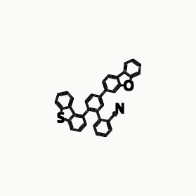 N#Cc1ccccc1-c1cc(-c2ccc3c(c2)oc2ccccc23)ccc1-c1cccc2sc3ccccc3c12